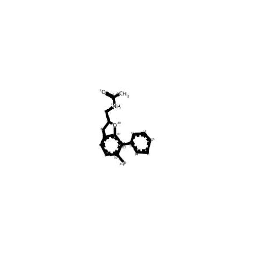 CC(=O)NCC1Cc2ccc(F)c(-c3ccccc3)c2O1